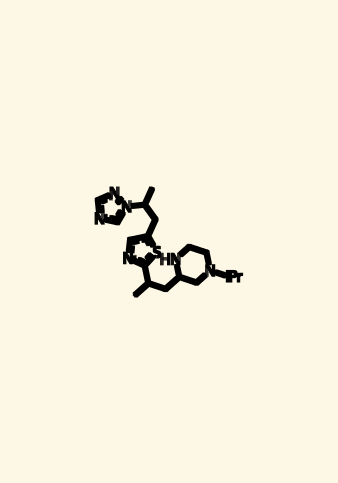 CC(CC1CN(C(C)C)CCN1)c1ncc(CC(C)n2cncn2)s1